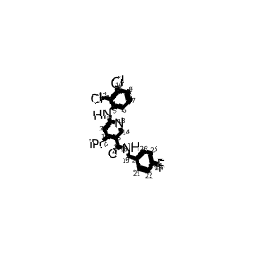 CC(C)c1cc(Nc2cccc(Cl)c2Cl)ncc1C(=O)NCc1ccc(F)cc1